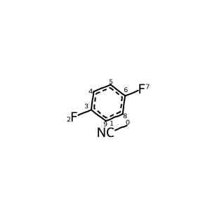 CC#N.Fc1ccc(F)cc1